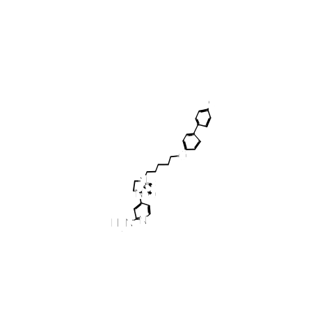 Nc1cc(N2CCN(CCCCCOc3ccc(-c4ccc(Cl)cc4)cc3)S2(=O)=O)ccn1